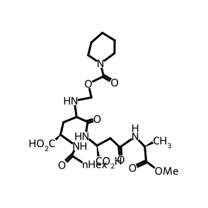 CCCCCCC(=O)N[C@H](CC(NCOC(=O)N1CCCCC1)C(=O)N[C@@H](CC(=O)N[C@@H](C)C(=O)OC)C(=O)O)C(=O)O